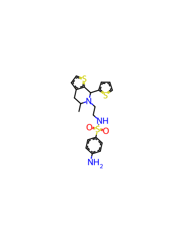 CC1Cc2ccsc2C(c2cccs2)N1CCNS(=O)(=O)c1ccc(N)cc1